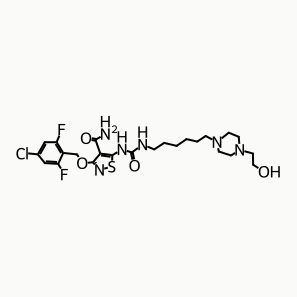 NC(=O)c1c(OCc2c(F)cc(Cl)cc2F)nsc1NC(=O)NCCCCCCN1CCN(CCO)CC1